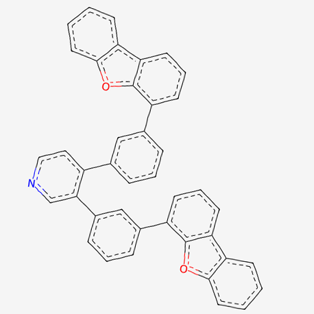 c1cc(-c2ccncc2-c2cccc(-c3cccc4c3oc3ccccc34)c2)cc(-c2cccc3c2oc2ccccc23)c1